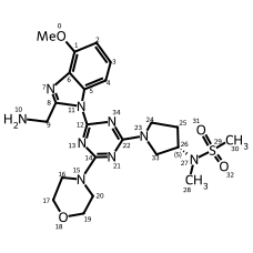 COc1cccc2c1nc(CN)n2-c1nc(N2CCOCC2)nc(N2CC[C@H](N(C)S(C)(=O)=O)C2)n1